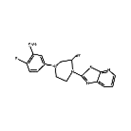 CSc1cc(N2CCN(c3nc4cccnc4s3)C(C(C)C)C2)ccc1F